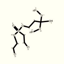 CCCOC(O)(CCOP(=O)(CCCl)OCCCl)OCCC